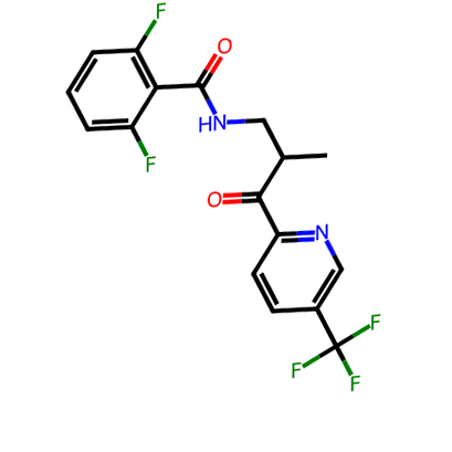 CC(CNC(=O)c1c(F)cccc1F)C(=O)c1ccc(C(F)(F)F)cn1